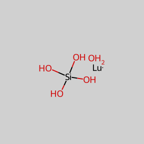 O.O[Si](O)(O)O.[Lu]